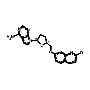 Nc1ncnc2c1ccn2[C@H]1CC[C@@H](COc2ccc3ccc(Cl)nc3c2)O1